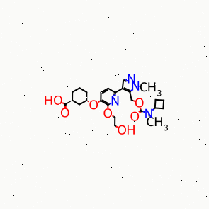 CN(C(=O)OCc1c(-c2ccc(O[C@H]3CCC[C@H](C(=O)O)C3)c(OCCO)n2)cnn1C)C1CCC1